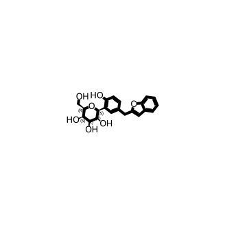 OC[C@H]1O[C@@H](c2cc(Cc3cc4ccccc4o3)ccc2O)[C@H](O)[C@@H](O)[C@@H]1O